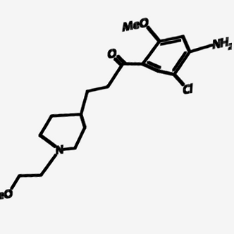 COCCN1CCC(CCC(=O)c2cc(Cl)c(N)cc2OC)CC1